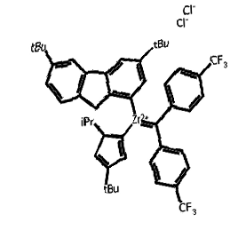 CC(C)C1C=C(C(C)(C)C)C=[C]1[Zr+2](=[C](c1ccc(C(F)(F)F)cc1)c1ccc(C(F)(F)F)cc1)[c]1cc(C(C)(C)C)cc2c1Cc1ccc(C(C)(C)C)cc1-2.[Cl-].[Cl-]